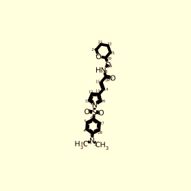 CN(C)c1ccc(S(=O)(=O)n2ccc(/C=C/C(=O)NOC3CCCCO3)c2)cc1